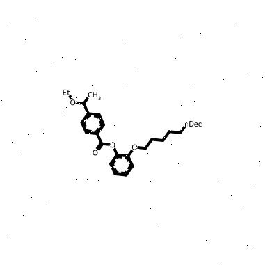 CCCCCCCCCCCCCCCOc1ccccc1OC(=O)c1ccc(C(C)OCC)cc1